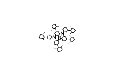 Cc1cccc(C)c1-c1ccc(N2c3ccc(-c4c(C)cccc4C)cc3B3c4ccc(-c5c(C)cccc5C)cc4N(c4cccc(-c5c(C)cccc5C)c4)c4cc(-c5c(C)cccc5C)cc2c43)cc1